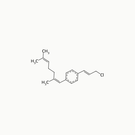 CC(C)=CCCC(C)=Cc1ccc(C=CCCl)cc1